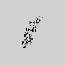 CC(C)(C)OC(=O)NC1CC(NC(=O)c2cnc3cc(OC(F)F)c(F)cc3c2)C1